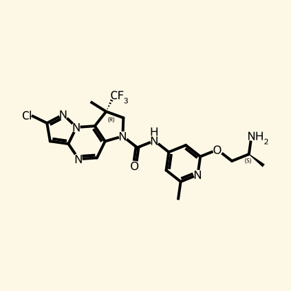 Cc1cc(NC(=O)N2C[C@@](C)(C(F)(F)F)c3c2cnc2cc(Cl)nn32)cc(OC[C@H](C)N)n1